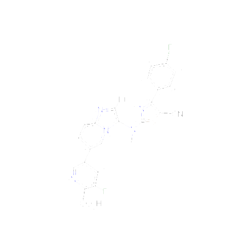 CCc1nc2ccc(-c3cnc(C(=O)O)c(F)c3)cn2c1N(C)c1nc(-c2ccc(F)cc2)c(C#N)s1